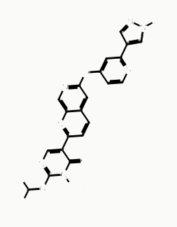 CC(C)Nc1ncc(-c2ccc3cc(Oc4ccnc(-c5cnn(C)c5)c4)ncc3n2)c(=O)n1C